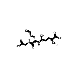 N[C@@H](CC[C@H](O)N[C@@H](CSN=O)C(=O)NCC(=O)O)C(=O)O